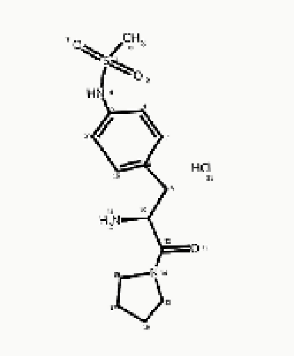 CS(=O)(=O)Nc1ccc(C[C@H](N)C(=O)N2CCCC2)cc1.Cl